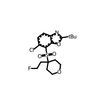 CC(C)(C)c1nc2ccc(Cl)c(S(=O)(=O)C3(CCF)CCOCC3)c2o1